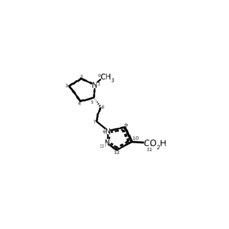 CN1CCC[C@H]1CCn1cc(C(=O)O)cn1